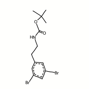 CC(C)(C)OC(=O)NCCc1cc(Br)cc(Br)c1